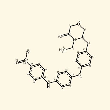 CCN1C(=O)COCC1Cc1ccc(Oc2ccc(Nc3ccc([N+](=O)[O-])cn3)cc2)cc1